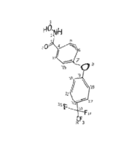 O=C(NO)c1ccc(Oc2ccc(C(F)(F)C(F)(F)F)cc2)cc1